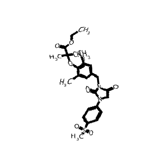 CCOC(=O)C(C)(C)Oc1c(C)cc(CN2C(=O)CN(C3=CCC(S(C)(=O)=O)C=C3)C2=O)cc1C